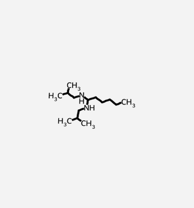 CCCCCC(NCC(C)C)NCC(C)C